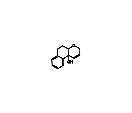 OC12C=CCOC1CCc1ccccc12